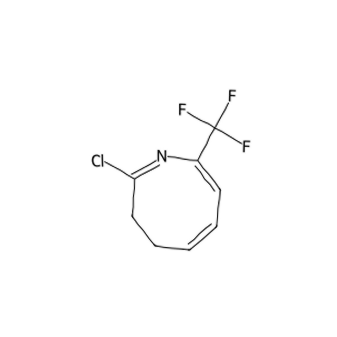 FC(F)(F)C1=C/C=C\CC/C(Cl)=N\1